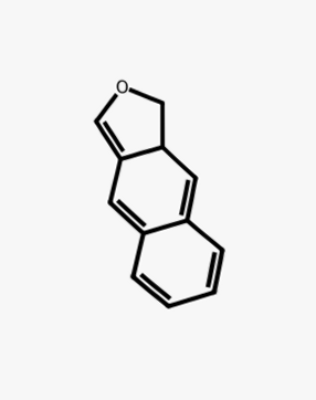 C1=C2C=c3ccccc3=CC2CO1